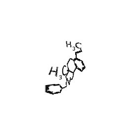 C/C=C/c1cccc2c1CCC1(C)CN(Cc3ccccc3)CC21